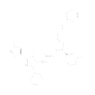 Cc1c(-c2cnn(C)c2)nn(-c2ccccc2)c1NC(=O)N[C@@H]1CN(CCCc2ccccc2)C[C@H]1c1ccc(F)c(F)c1